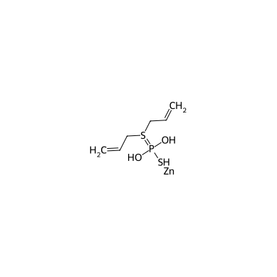 C=CCS(CC=C)=P(O)(O)S.[Zn]